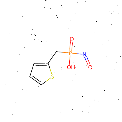 O=NP(=O)(O)Cc1cccs1